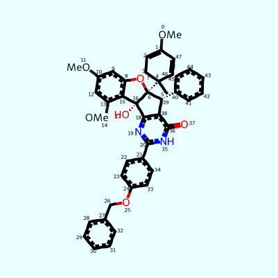 COC1=CCC(C)([C@@]23Oc4cc(OC)cc(OC)c4[C@]2(O)c2nc(-c4ccc(OCc5ccccc5)cc4)[nH]c(=O)c2[C@H]3c2ccccc2)C=C1